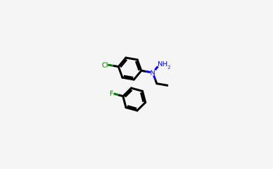 CCN(N)c1ccc(Cl)cc1.Fc1ccccc1